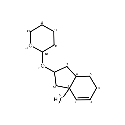 CC12C=CCCC1CC(OC1CCCCO1)C2